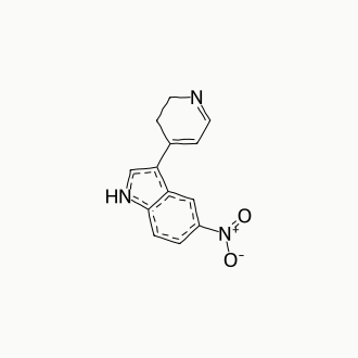 O=[N+]([O-])c1ccc2[nH]cc(C3=CC=NCC3)c2c1